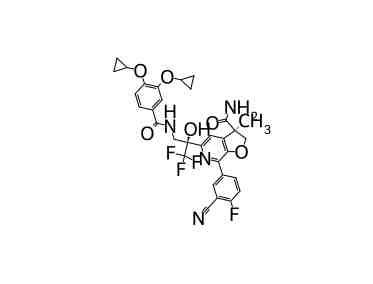 C[C@]1(C(N)=O)COc2c1cc([C@@](O)(CNC(=O)c1ccc(OC3CC3)c(OC3CC3)c1)C(F)(F)F)nc2-c1ccc(F)c(C#N)c1